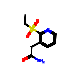 CCS(=O)(=O)c1ncccc1[CH]C(N)=O